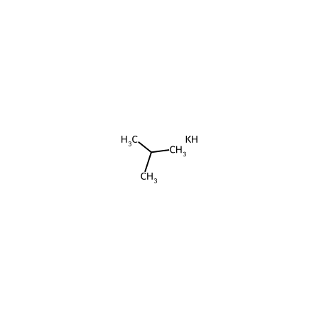 CC(C)C.[KH]